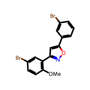 COc1ccc(Br)cc1-c1cc(-c2cccc(Br)c2)on1